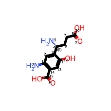 Nc1cc([C@H](N)CCC(=O)O)c(O)cc1C(=O)O